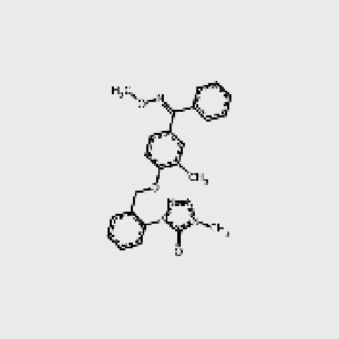 CO/N=C(/c1ccccc1)c1ccc(OCc2ccccc2-n2nnn(C)c2=O)c(C)c1